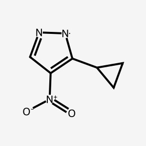 O=[N+]([O-])C1=C(C2CC2)[N]N=C1